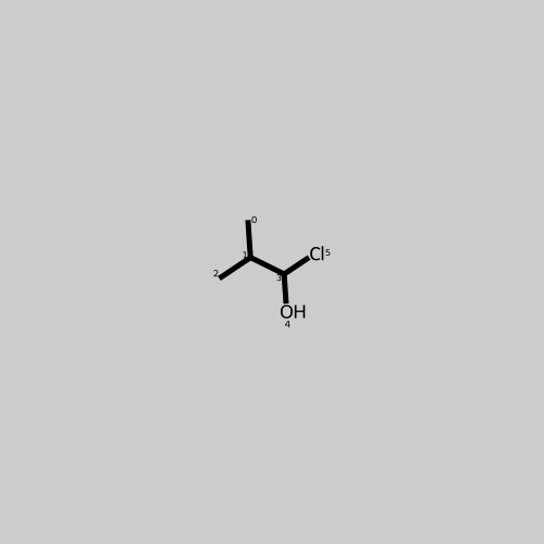 CC(C)C(O)Cl